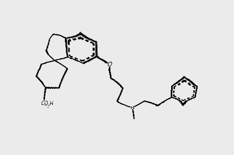 CN(CCCOc1ccc2c(c1)C1(CC2)CCC(C(=O)O)CC1)CCc1ccccc1